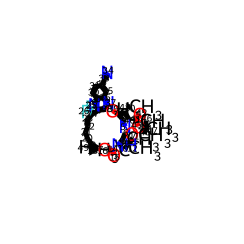 CC[C@@H]1[C@@H]2CN(C(=O)[C@H](C(C)(C)C)NC(=O)OC3C[C@H]3CC/C=C/C(F)(F)c3nc4ccc(C#N)cc4nc3O2)[C@@H]1C(=O)OC(C)(C)C